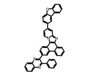 c1ccc(-c2nc3ccccc3nc2-c2ccc3c(c2)c2ccccc2c2nc4cc(-c5ccc6oc7ccccc7c6c5)ccn4c32)cc1